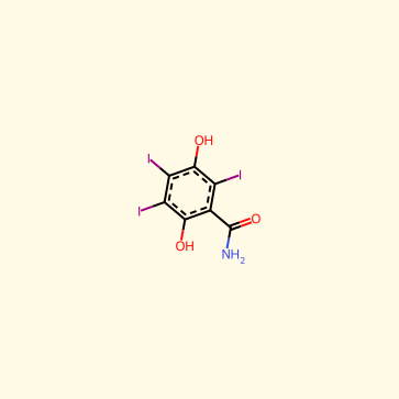 NC(=O)c1c(O)c(I)c(I)c(O)c1I